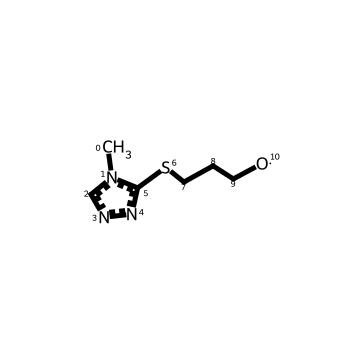 Cn1cnnc1SCCC[O]